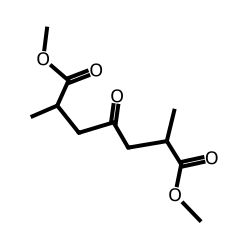 COC(=O)C(C)CC(=O)CC(C)C(=O)OC